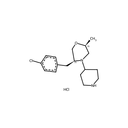 C[C@H]1CN(C2CCNCC2)[C@@H](Cc2ccc(Cl)cc2)CO1.Cl